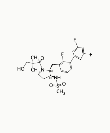 CC(C)(CO)C(=O)N1CC[C@H](NS(C)(=O)=O)[C@@H]1Cc1cccc(-c2cc(F)cc(F)c2)c1F